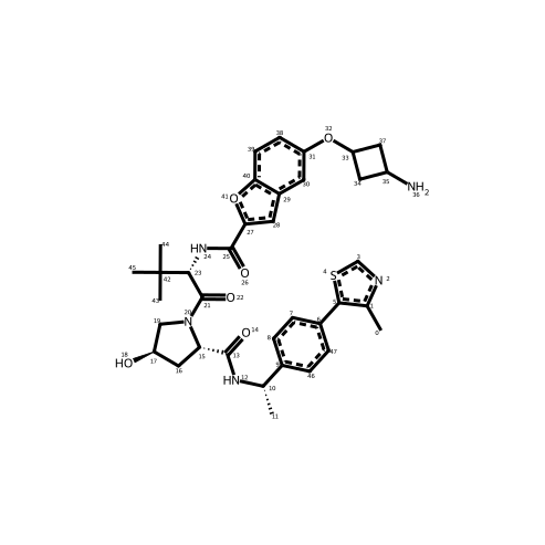 Cc1ncsc1-c1ccc([C@H](C)NC(=O)[C@@H]2C[C@@H](O)CN2C(=O)[C@@H](NC(=O)c2cc3cc(OC4CC(N)C4)ccc3o2)C(C)(C)C)cc1